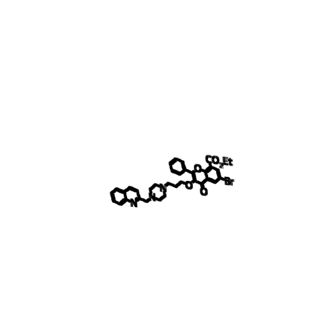 CCOC(=O)c1cc(Br)cc2c(=O)c(OCCCN3CCN(Cc4ccc5ccccc5n4)CC3)c(-c3ccccc3)oc12